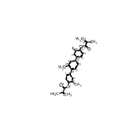 C=C(C)C(=O)Oc1ccc(-c2ccc(-c3ccc(OC(=O)C(=C)C)c(F)c3)cc2C)cc1C